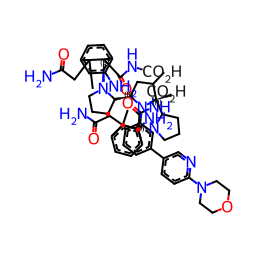 CC1C[C@H](C2CCCN2[C@]2(C(=O)NC(=O)O)c3ccc(cc3N)C2(C)CC(N)=O)N(c2cccc(-c3ccc(N4CCOCC4)nc3)c2)[C@@]1(C)C1CCCN1[C@]1(C(=O)NC(=O)O)c2ccc(cc2N)C1(C)CC(N)=O